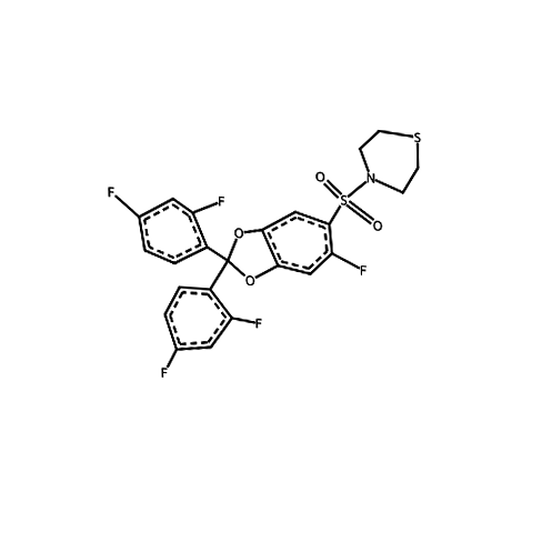 O=S(=O)(c1cc2c(cc1F)OC(c1ccc(F)cc1F)(c1ccc(F)cc1F)O2)N1CCSCC1